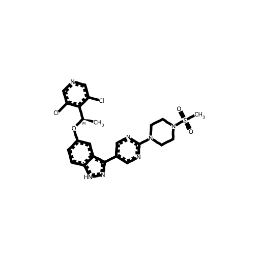 C[C@@H](Oc1ccc2[nH]nc(-c3cnc(N4CCN(S(C)(=O)=O)CC4)nc3)c2c1)c1c(Cl)cncc1Cl